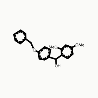 COc1ccc(C(O)c2ccc(OCc3ccccc3)cc2)c(OC)c1